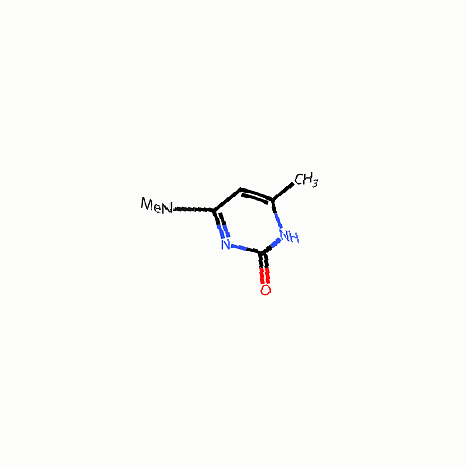 CNc1cc(C)[nH]c(=O)n1